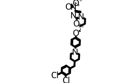 O=[N+]([O-])c1cn2c(n1)O[C@@H](COc1ccc(N3CCC(Cc4ccc(Cl)c(Cl)c4)CC3)cc1)CC2